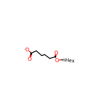 [CH2]CCCCCOC(=O)CCCCC([O])=O